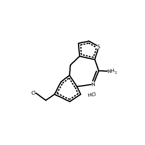 Cl.NC1=Nc2ccc(CCl)cc2Cc2ccsc21